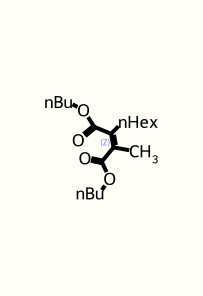 CCCCCC/C(C(=O)OCCCC)=C(\C)C(=O)OCCCC